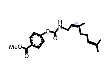 COC(=O)c1ccc(OC(=O)NC/C=C(/C)CCC=C(C)C)cc1